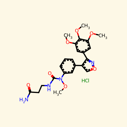 COc1cc(-c2nocc2-c2cccc(N(OC)C(=O)NCCC(N)=O)c2)cc(OC)c1OC.Cl